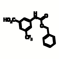 O=C(Nc1cc(C(=O)O)cc(C(F)(F)F)c1)OCc1ccccc1